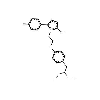 CCOC(=O)C(Cc1ccc(OCCn2c(-c3ccc(F)cc3)ccc2C(C)C)cc1)OCC